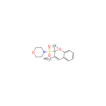 O=C(O)C1=Cc2ccccc2OC1(C(F)(F)F)S(=O)(=O)N1CCOCC1